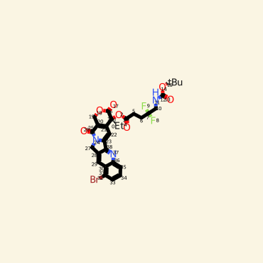 CC[C@@]1(OC(=O)CCC(F)(F)CNC(=O)OC(C)(C)C)C(=O)OCc2c1cc1n(c2=O)Cc2cc3c(Br)cccc3nc2-1